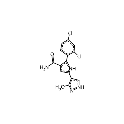 Cc1n[nH]cc1-c1cc(C(N)=O)c(-c2ccc(Cl)cc2Cl)[nH]1